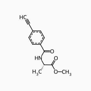 C#Cc1ccc(C(=O)N[C@@H](C)C(=O)OC)cc1